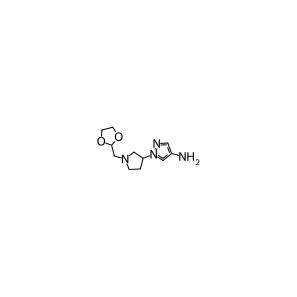 Nc1cnn(C2CCN(CC3OCCO3)C2)c1